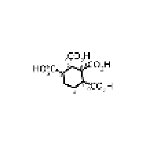 O=C(O)C1CC[C@@H](C(=O)O)[C@H](C(=O)O)C1C(=O)O